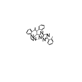 C=C1c2ccccc2N2C=CN(C)C2C2C1c1ccccc1N1c3cnc(-c4ccccc4C)nc3N(C)C21